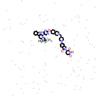 C[C@@H]1Cc2c([nH]c3ccccc23)[C@@H](c2cnc(OC3CCC4(CC3)CCN(CC3CCN(c5ccc6c(c5)CN(C5CCC(=O)NC5=O)C6=O)CC3)CC4)nc2)N1CC(C)(C)F